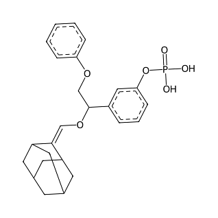 O=P(O)(O)Oc1cccc(C(COc2ccccc2)OC=C2C3CC4CC(C3)CC2C4)c1